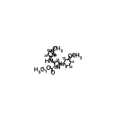 CCOC(=O)c1nn(-c2cccc(OC)c2)cc1Nc1ccn(C)n1